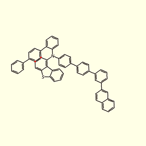 c1ccc(-c2ccc(-c3ccccc3N(c3ccc(-c4ccc(-c5cccc(-c6ccc7ccccc7c6)c5)cc4)cc3)c3cccc4sc5ccccc5c34)cc2)cc1